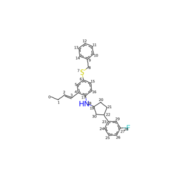 CC/C=C/c1cc(SCc2ccccc2)ccc1NC1CCC(c2cccc(F)c2)C1